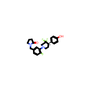 O=C1CCCN1Cc1ccc(F)c(N2CC[C@H](c3ccc(O)cc3)C(F)(F)C2)c1